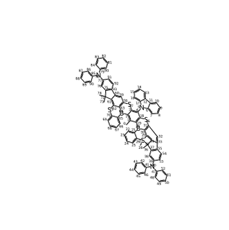 Cc1c2c(c(-n3c4ccccc4c4ccccc43)c3c1B1c4ccccc4S4(C)c5c1c(cc1c5C4(C)c4cc(N(c5ccccc5)c5ccccc5)ccc4-1)S3)Sc1cc3c(c4c1B2c1ccccc1S4)C(C)(C)c1cc(N(c2ccccc2)c2ccccc2)ccc1-3